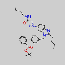 CCCCNC(=O)CNc1ccc2nc(CCCC)n(Cc3ccc(-c4ccccc4C(=O)OC(C)(C)C)cc3)c2c1